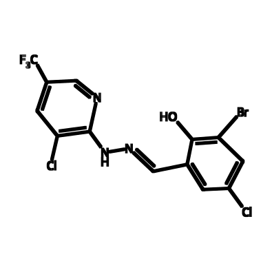 Oc1c(Br)cc(Cl)cc1/C=N/Nc1ncc(C(F)(F)F)cc1Cl